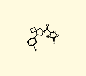 O=C(c1noc(=O)[nH]1)N1C[C@@H](c2cccc(F)c2)C2(CCC2)C1